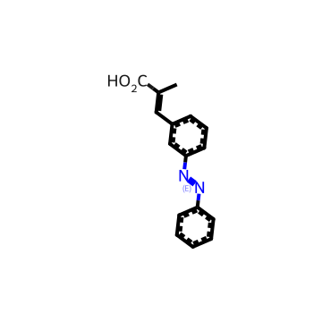 CC(=Cc1cccc(/N=N/c2ccccc2)c1)C(=O)O